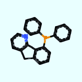 c1ccc(P(c2ccccc2)c2cccc3c2-c2ncccc2C3)cc1